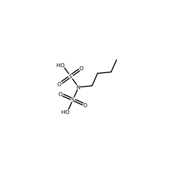 CCCCN(S(=O)(=O)O)S(=O)(=O)O